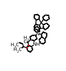 C=C(/C=C\C)/C=C\C(=C)c1ccc(N(c2ccc3c(c2)C(c2ccccc2)(c2ccccc2-c2ccccc2)c2ccccc2-3)c2cccc3ccccc23)cc1Nc1ccccc1